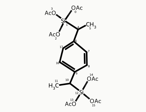 CC(=O)O[Si](OC(C)=O)(OC(C)=O)C(C)c1ccc(C(C)[Si](OC(C)=O)(OC(C)=O)OC(C)=O)cc1